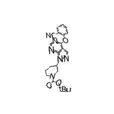 CC(C)(C)OC(=O)N1CCCC(n2ncc3c(Oc4ccccc4C#N)ncnc32)C1